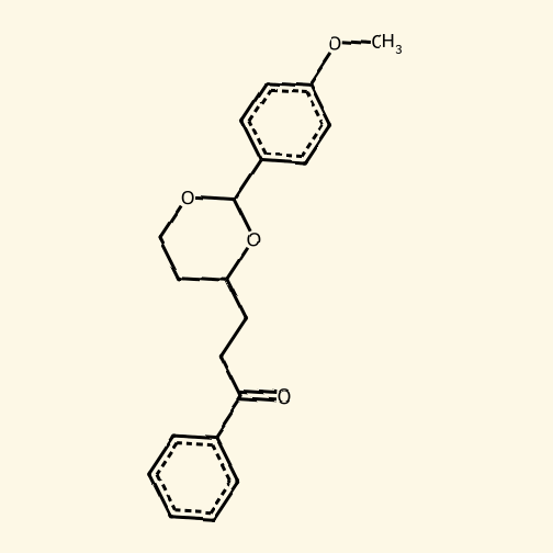 COc1ccc(C2OCCC(CCC(=O)c3ccccc3)O2)cc1